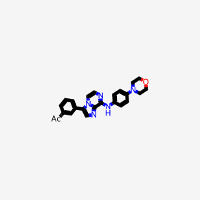 CC(=O)c1cccc(-c2cnc3c(Nc4ccc(N5CCOCC5)cc4)nccn23)c1